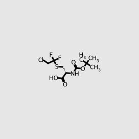 CC(C)(C)OC(=O)N[C@@H](CSC(F)(F)CCl)C(=O)O